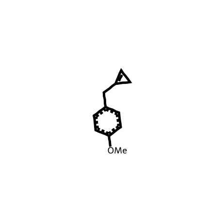 COc1ccc(CC2=CC2)cc1